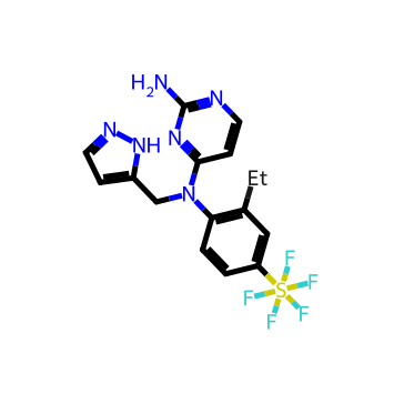 CCc1cc(S(F)(F)(F)(F)F)ccc1N(Cc1ccn[nH]1)c1ccnc(N)n1